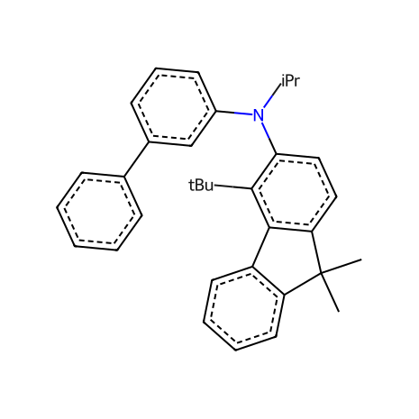 CC(C)N(c1cccc(-c2ccccc2)c1)c1ccc2c(c1C(C)(C)C)-c1ccccc1C2(C)C